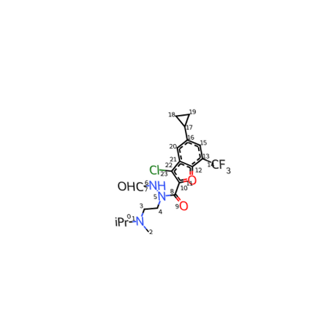 CC(C)N(C)CCN(NC=O)C(=O)c1oc2c(C(F)(F)F)cc(C3CC3)cc2c1Cl